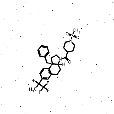 CC(F)(c1ccc2c(c1)CC[C@H]1N(C(=O)C3CCN(S(C)(=O)=O)CC3)CC[C@@]21Cc1ccccc1)C(F)(F)F